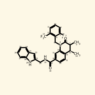 CC1C(=O)N(Cc2c(F)cccc2C(F)(F)F)c2cc(C(=O)NCc3cc4ccccc4[nH]3)ccc2[C@@H]1C